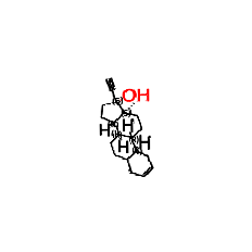 C#C[C@]1(O)CC[C@H]2[C@@H]3CCC4CC=CC[C@@H]4[C@H]3CC[C@@]21C